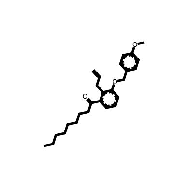 C=CCc1c(OCc2ccc(OC)cc2)cccc1C(=O)CCCCCCCC